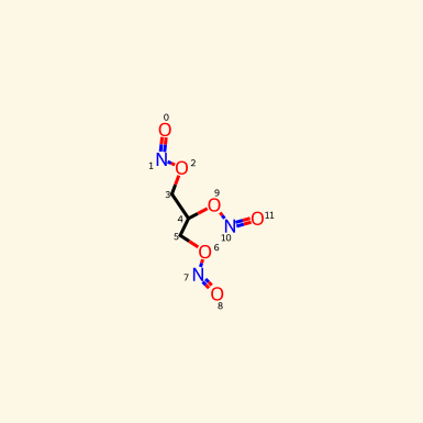 O=NOCC(CON=O)ON=O